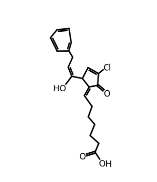 O=C(O)CCCCC/C=C1\C(=O)C(Cl)=CC1/C(O)=C\Cc1ccccc1